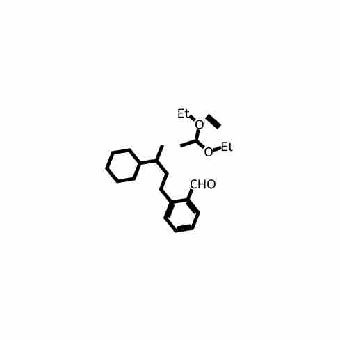 C=C.CC(CCc1ccccc1C=O)C1CCCCC1.CCOC(C)OCC